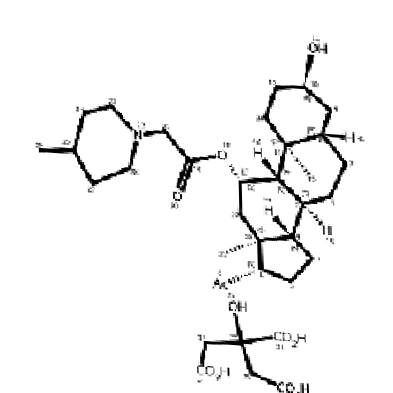 CC(=O)[C@H]1CC[C@H]2[C@@H]3CC[C@H]4C[C@H](O)CC[C@]4(C)[C@H]3[C@@H](OC(=O)CN3CCC(C)CC3)C[C@]12C.O=C(O)CC(O)(CC(=O)O)C(=O)O